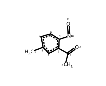 CC(=O)c1cc(C)ccc1N=O